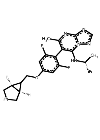 Cc1nc2ncnn2c(N[C@H](C)C(C)C)c1-c1c(F)cc(OCC2[C@H]3CNC[C@@H]23)cc1F